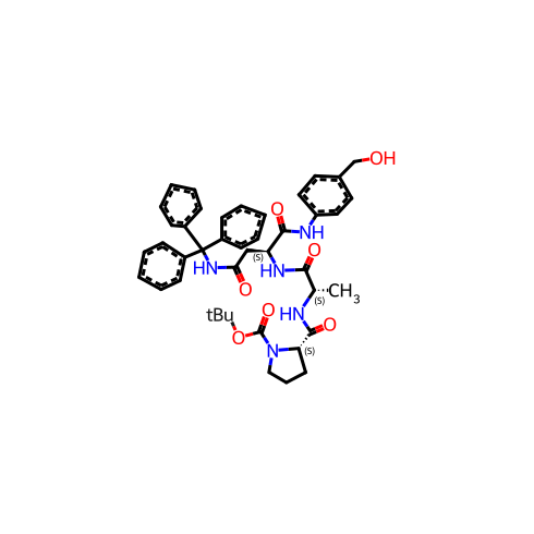 C[C@H](NC(=O)[C@@H]1CCCN1C(=O)OC(C)(C)C)C(=O)N[C@@H](CC(=O)NC(c1ccccc1)(c1ccccc1)c1ccccc1)C(=O)Nc1ccc(CO)cc1